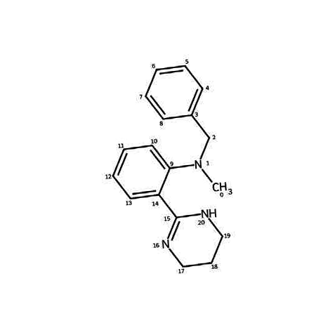 CN(Cc1ccccc1)c1ccccc1C1=NCCCN1